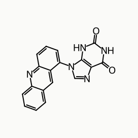 O=c1[nH]c(=O)c2ncn(-c3cccc4nc5ccccc5cc34)c2[nH]1